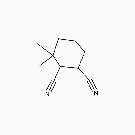 CC1(C)CCCC(C#N)C1C#N